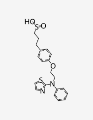 O=S(O)CCCc1ccc(OCCN(c2ccccc2)c2nccs2)cc1